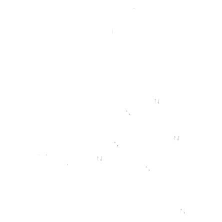 COc1ccc(-n2c(-c3cnc(C#N)cn3)nc3cc(C(F)(F)F)ccc32)nn1